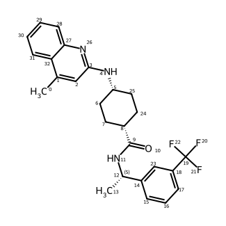 Cc1cc(N[C@H]2CC[C@@H](C(=O)N[C@@H](C)c3cccc(C(F)(F)F)c3)CC2)nc2ccccc12